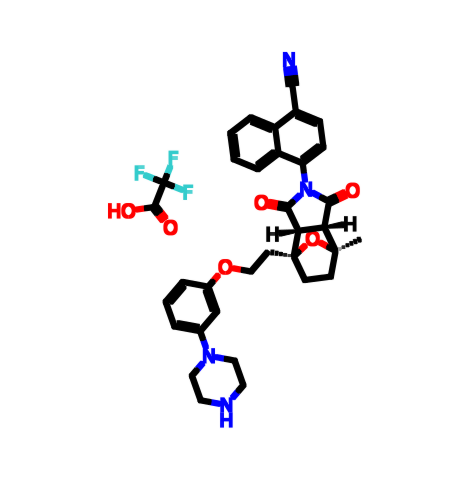 C[C@]12CC[C@](CCOc3cccc(N4CCNCC4)c3)(O1)[C@@H]1C(=O)N(c3ccc(C#N)c4ccccc34)C(=O)[C@@H]12.O=C(O)C(F)(F)F